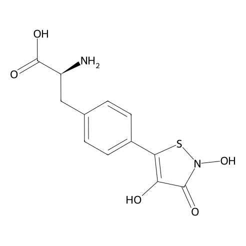 N[C@@H](Cc1ccc(-c2sn(O)c(=O)c2O)cc1)C(=O)O